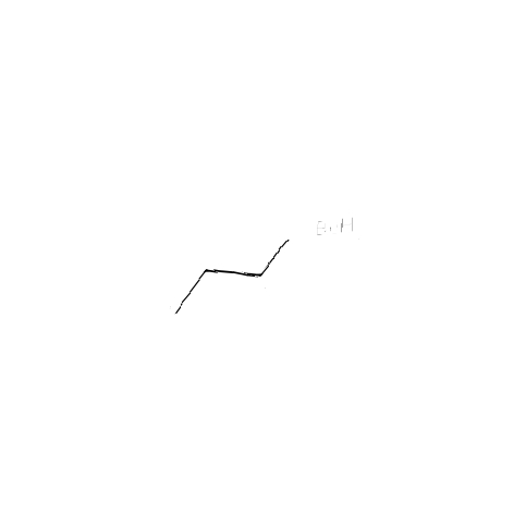 [BeH2].[CH2]CCC